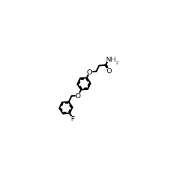 NC(=O)CCOc1ccc(OCc2cccc(F)c2)cc1